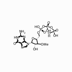 COC1[C@@H](COP(=O)(O)OP(=O)(O)OP(=O)(O)O)O[C@@H](n2cnc3c(=O)[nH]c(N)nc32)[C@H]1O